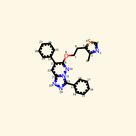 Cc1ncsc1CCOc1nn2c(-c3ccccc3)nnc2cc1-c1ccccc1